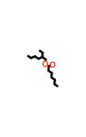 CCCCCCC(=O)OCC(CC)CCCC